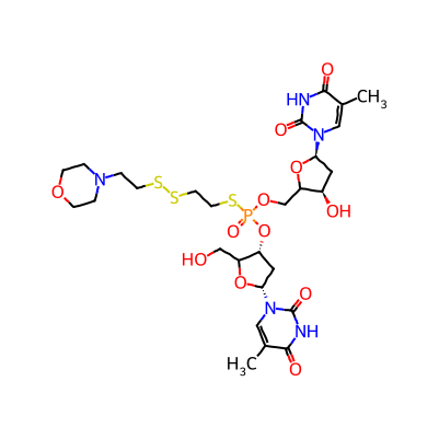 Cc1cn([C@H]2C[C@@H](O)C(COP(=O)(O[C@@H]3C[C@H](n4cc(C)c(=O)[nH]c4=O)OC3CO)SCCSSCCN3CCOCC3)O2)c(=O)[nH]c1=O